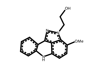 COc1ccc2c3c(nn(CCO)c13)-c1ccccc1N2